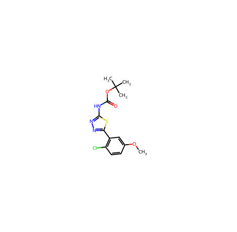 COc1ccc(Cl)c(-c2nnc(NC(=O)OC(C)(C)C)s2)c1